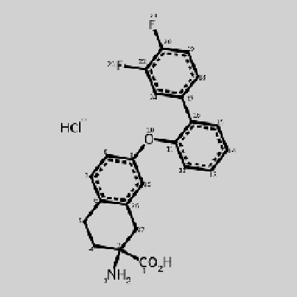 Cl.NC1(C(=O)O)CCc2ccc(Oc3ccccc3-c3ccc(F)c(F)c3)cc2C1